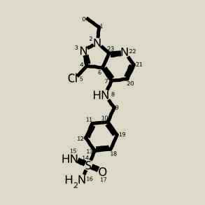 CCn1nc(Cl)c2c(NCc3ccc(S(=N)(N)=O)cc3)ccnc21